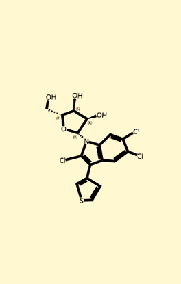 OC[C@H]1O[C@@H](n2c(Cl)c(-c3ccsc3)c3cc(Cl)c(Cl)cc32)[C@H](O)[C@@H]1O